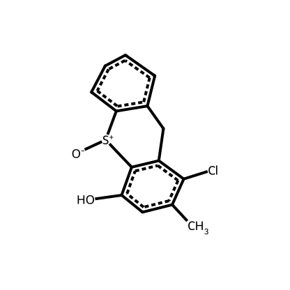 Cc1cc(O)c2c(c1Cl)Cc1ccccc1[S+]2[O-]